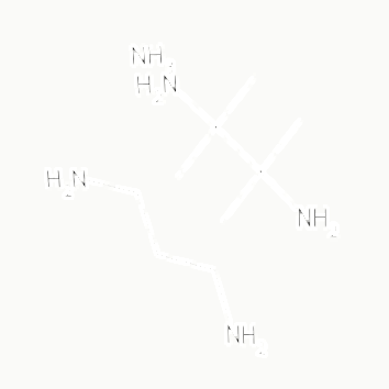 CC(C)(N)C(C)(C)N.N.NCCCN